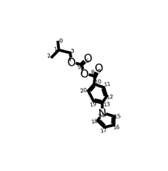 CC(C)COC(=O)OC(=O)c1ccc(-n2cccc2)cc1